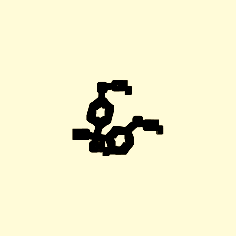 COc1ccc([C@](C)(O)c2cccc(OC)c2)cc1